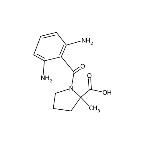 CC1(C(=O)O)CCCN1C(=O)c1c(N)cccc1N